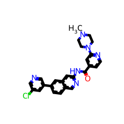 CN1CCN(c2cc(C(=O)Nc3cc4cc(-c5cncc(Cl)c5)ccc4cn3)ccn2)CC1